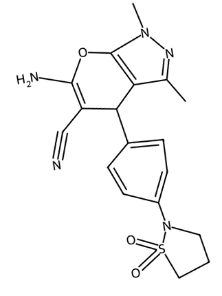 Cc1nn(C)c2c1C(c1ccc(N3CCCS3(=O)=O)cc1)C(C#N)=C(N)O2